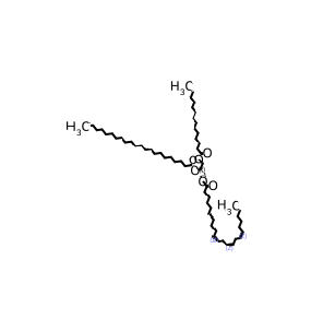 CCCCC/C=C\C/C=C\C/C=C\CCCCCCCCC(=O)OC[C@@H](COC(=O)CCCCCCCCCCCCC)OC(=O)CCCCCCCCCCCCCCCCCCCCC